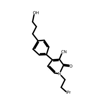 CC(C)CCn1ccc(-c2ccc(CCCO)cc2)c(C#N)c1=O